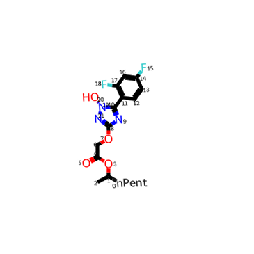 CCCCCC(C)OC(=O)COc1nc(-c2ccc(F)cc2F)n(O)n1